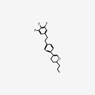 CCCC1CCC(c2ccc(CCc3cc(F)c(F)c(F)c3)cc2)=CO1